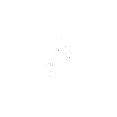 CN(CCc1cnc([C@](O)(c2ccccc2)C2CCCCC2)o1)Cc1ccccc1